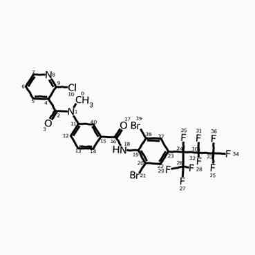 CN(C(=O)c1cccnc1Cl)c1cccc(C(=O)Nc2c(Br)cc(C(F)(C(F)(F)F)C(F)(F)C(F)(F)F)cc2Br)c1